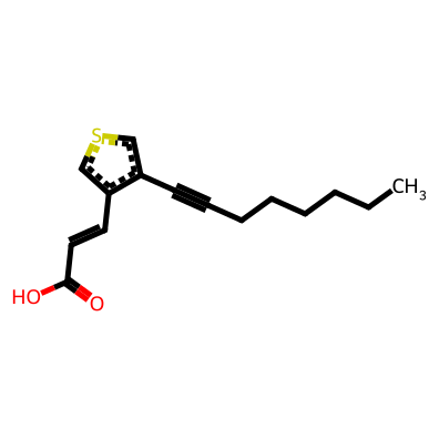 CCCCCCC#Cc1cscc1C=CC(=O)O